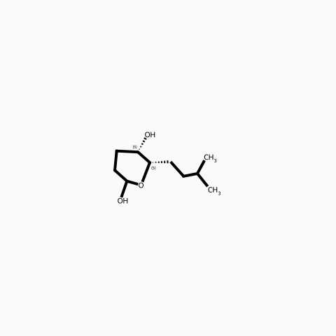 CC(C)CC[C@@H]1OC(O)CC[C@@H]1O